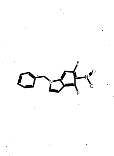 O=[N+]([O-])c1c(F)cc2c(ccn2Cc2ccccc2)c1F